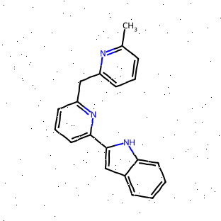 Cc1cccc(Cc2cccc(-c3cc4ccccc4[nH]3)n2)n1